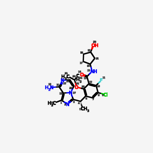 Cc1nc([C@@H](C)c2cc(Cl)c(F)c(C(=O)NC3CC[C@@H](O)C3)c2OC(C)C)n2ccnc(N)c12